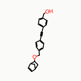 OCc1ccc(C#Cc2ccc(COC3CC4C=CC3C4)cc2)cc1